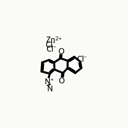 N#[N+]c1cccc2c1C(=O)c1ccccc1C2=O.[Cl-].[Cl-].[Cl-].[Zn+2]